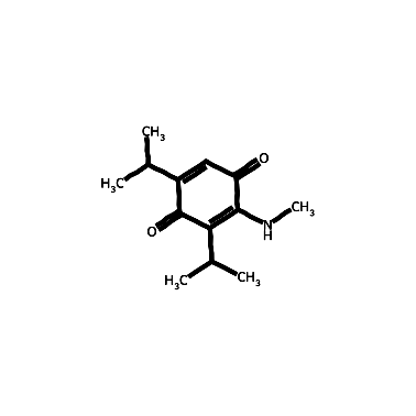 CNC1=C(C(C)C)C(=O)C(C(C)C)=CC1=O